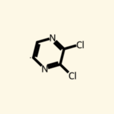 Clc1n[c]cnc1Cl